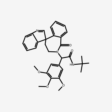 COc1cc(C(C(=O)NC(C)(C)C)N2CCC3(C=Nc4ccccc43)c3ccccc3C2=O)cc(OC)c1OC